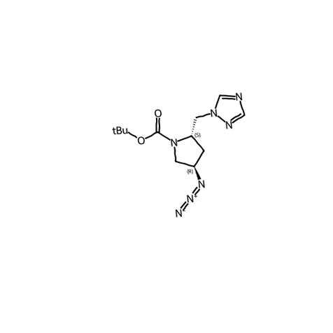 CC(C)(C)OC(=O)N1C[C@H](N=[N+]=[N-])C[C@H]1Cn1cncn1